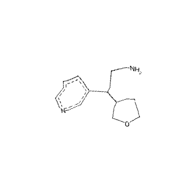 NCC(c1cccnc1)C1CCOC1